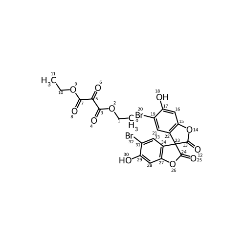 CCOC(=O)C(=O)C(=O)OCC.O=C1Oc2cc(O)c(Br)cc2C12C(=O)Oc1cc(O)c(Br)cc12